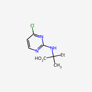 CCC(C)(Nc1nccc(Cl)n1)C(=O)O